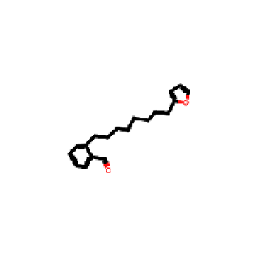 O=Cc1ccccc1CCCCCCCCc1ccco1